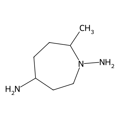 CC1CCC(N)CCN1N